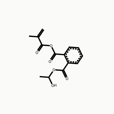 C=C(C)C(=O)OC(=O)c1ccccc1C(=O)OC(C)O